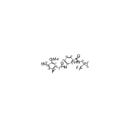 COc1cc(Cc2nc3cc(C(=O)NCC4(C(F)(F)F)CC4)ccc3o2)c(F)cc1C(C)(C)C